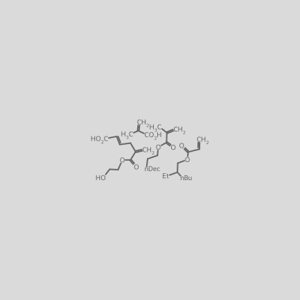 C=C(C)C(=O)O.C=C(C)C(=O)OCCCCCCCCCCCC.C=C(CC=CC(=O)O)C(=O)OCCO.C=CC(=O)OCC(CC)CCCC